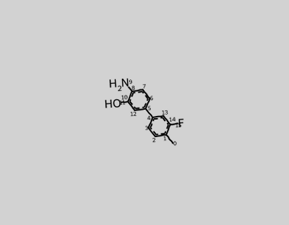 Cc1ccc(-c2ccc(N)c(O)c2)cc1F